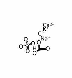 O=C([O-])O.O=S(=O)([O-])[O-].[Ca+2].[Cl-].[K+].[Na+]